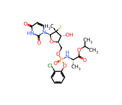 CC(C)OC(=O)[C@H](C)NP(=O)(OC[C@H]1O[C@@H](n2ccc(=O)[nH]c2=O)[C@](C)(F)[C@@H]1O)Oc1ccccc1Cl